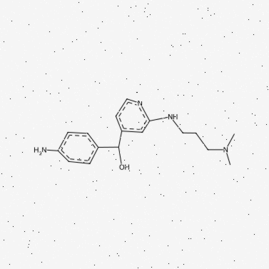 CN(C)CCCNc1cc(C(O)c2ccc(N)cc2)ccn1